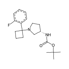 CC(C)(C)OC(=O)N[C@H]1CCN(C2(c3ccccc3F)CCC2)C1